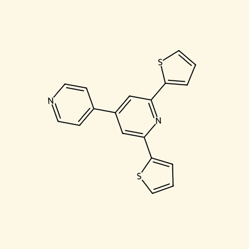 c1csc(-c2cc(-c3ccncc3)cc(-c3cccs3)n2)c1